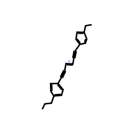 CCCc1ccc(C#C/C=C/C#Cc2ccc(CC)cc2)cc1